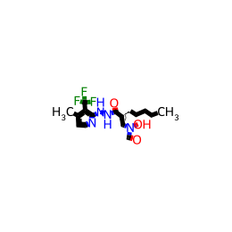 CCCCC[C@H](CN(O)C=O)C(=O)NNc1nccc(C)c1C(F)(F)F